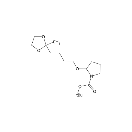 CC(C)(C)OC(=O)N1CCCC1OCCCCC1(C)OCCO1